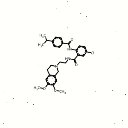 COc1cc2c(cc1OC)CN(CCNC(=O)c1cc(Cl)ccc1NC(=O)c1ccc(C(C)C)cc1)CC2